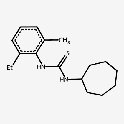 CCc1cccc(C)c1NC(=S)NC1CCCCCC1